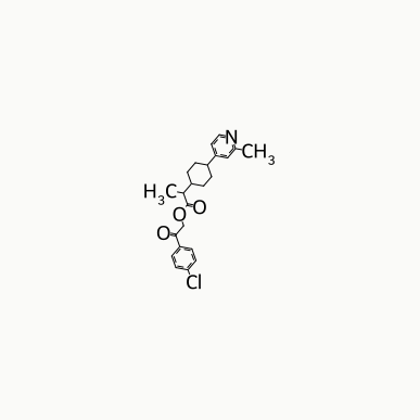 Cc1cc(C2CCC(C(C)C(=O)OCC(=O)c3ccc(Cl)cc3)CC2)ccn1